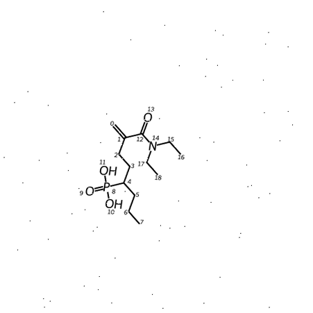 C=C(CCC(CCC)P(=O)(O)O)C(=O)N(CC)CC